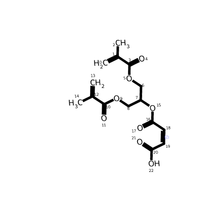 C=C(C)C(=O)OCC(COC(=O)C(=C)C)OC(=O)/C=C\C(=O)O